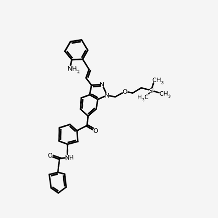 C[Si](C)(C)CCOCn1nc(C=Cc2ccccc2N)c2ccc(C(=O)c3cccc(NC(=O)c4ccccc4)c3)cc21